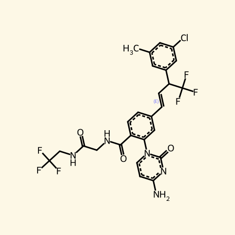 Cc1cc(Cl)cc(C(/C=C/c2ccc(C(=O)NCC(=O)NCC(F)(F)F)c(-n3ccc(N)nc3=O)c2)C(F)(F)F)c1